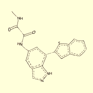 CNC(=O)C(=O)Nc1cc(-c2cc3ccccc3s2)c2[nH]ncc2c1